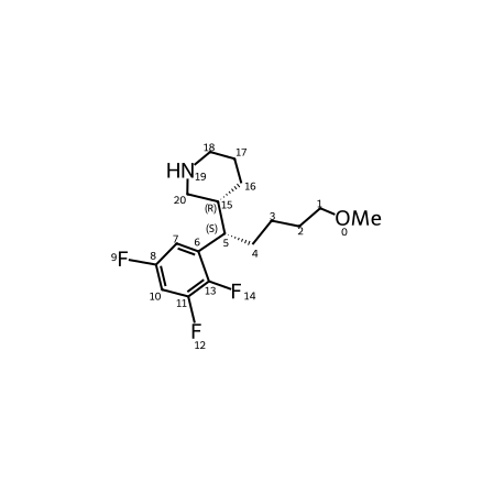 COCCCC[C@H](c1cc(F)cc(F)c1F)[C@H]1CCCNC1